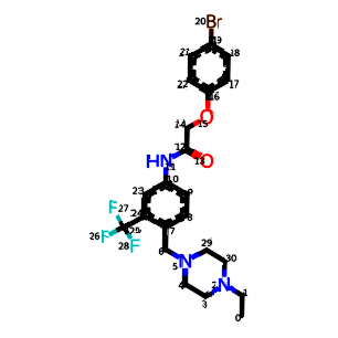 CCN1CCN(Cc2ccc(NC(=O)COc3ccc(Br)cc3)cc2C(F)(F)F)CC1